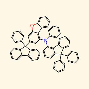 c1ccc(N(c2cccc3c2-c2ccccc2C3(c2ccccc2)c2ccccc2)c2cc(C3(c4ccccc4)c4ccccc4-c4ccccc43)cc3oc4ccccc4c23)cc1